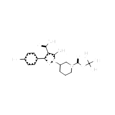 CC(C)(C)OC(=O)N1CCCC(n2nc(-c3ccc(O)cc3)c(C(N)=O)c2N)C1